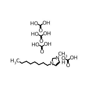 CCCCCCCCN1C=CN(C)C1.O=C(O)O.O=C(O)O.O=C(O)O.O=C(O)O